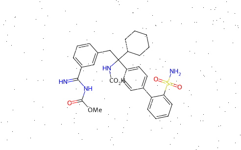 COC(=O)NC(=N)c1cccc(CC(NC(=O)O)(c2ccc(-c3ccccc3S(N)(=O)=O)cc2)C2CCCCC2)c1